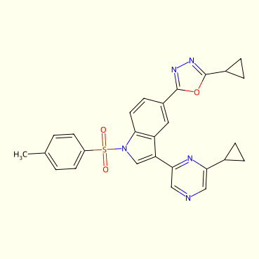 Cc1ccc(S(=O)(=O)n2cc(-c3cncc(C4CC4)n3)c3cc(-c4nnc(C5CC5)o4)ccc32)cc1